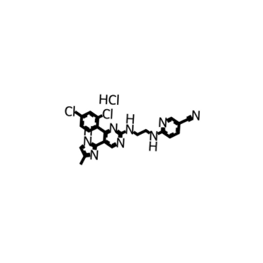 Cc1c[nH]c(-c2cnc(NCCNc3ccc(C#N)cn3)nc2-c2ccc(Cl)cc2Cl)n1.Cl